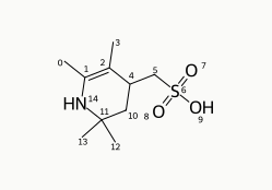 CC1=C(C)C(CS(=O)(=O)O)CC(C)(C)N1